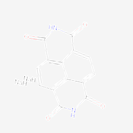 O=C1NC(=O)c2ccc3c4c(ccc1c24)C(=O)NC3=O.[NaH].[NaH]